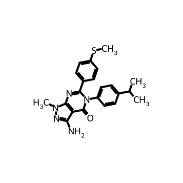 CSc1ccc(-c2nc3c(c(N)nn3C)c(=O)n2-c2ccc(C(C)C)cc2)cc1